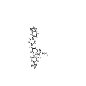 Nc1nc2cc(CN3CCN(c4ccc5nsnc5c4)CC3)ccc2n1Cc1cccc(C(F)(F)F)c1